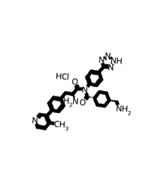 Cc1ccncc1-c1ccc(C[C@H](N)C(=O)N(c2ccc(-c3nn[nH]n3)cc2)C(=O)[C@H]2CC[C@H](CN)CC2)cc1.Cl